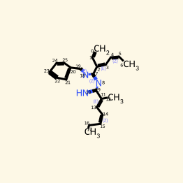 C=CC(=C\C=C/C)/C(=N/C(=N)/C(C)=C/C=C\CC)/N=C/c1cc#ccc1